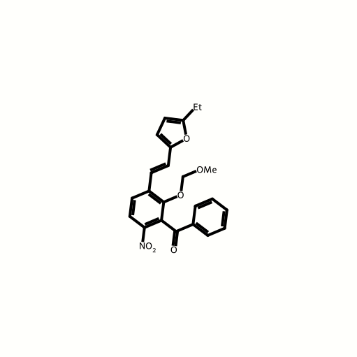 CCc1ccc(C=Cc2ccc([N+](=O)[O-])c(C(=O)c3ccccc3)c2OCOC)o1